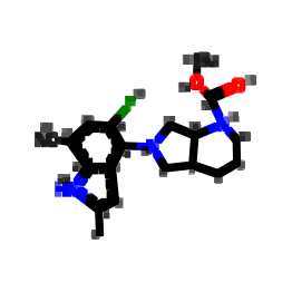 Cc1cc2c(N3CC4CCCN(C(=O)OC(C)(C)C)C4C3)c(F)cc(C#N)c2[nH]1